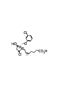 O=C(O)CCC/C=C\C[C@@H]1[C@@H](COc2cccc(Cl)c2)[C@H](O)C[C@@H]1Cl